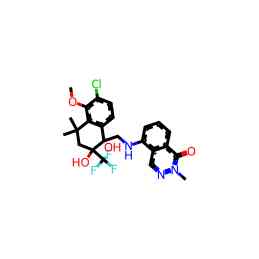 COc1c(Cl)ccc2c1C(C)(C)CC(O)(C(F)(F)F)C2(O)CNc1cccc2c(=O)n(C)ncc12